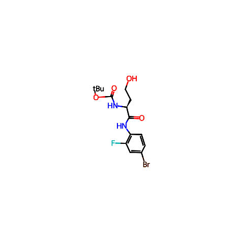 CC(C)(C)OC(=O)N[C@@H](CCO)C(=O)Nc1ccc(Br)cc1F